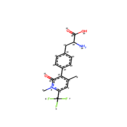 Cc1cc(C(F)(F)F)n(C)c(=O)c1-c1ccc(CC(N)C(=O)O)cc1